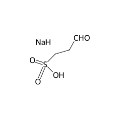 O=CCCS(=O)(=O)O.[NaH]